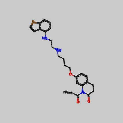 CCCCCC(=O)N1C(=O)CCc2ccc(OCCCCNCCNc3cccc4sccc34)cc21